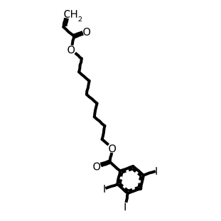 C=CC(=O)OCCCCCCCCOC(=O)c1cc(I)cc(I)c1I